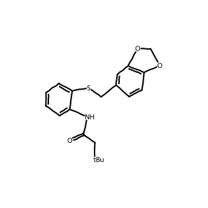 CC(C)(C)CC(=O)Nc1ccccc1SCc1ccc2c(c1)OCO2